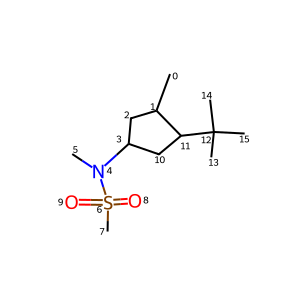 CC1CC(N(C)S(C)(=O)=O)CC1C(C)(C)C